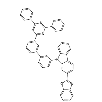 c1ccc(-c2nc(-c3ccccc3)nc(-c3cccc(-c4cccc(-n5c6ccccc6c6ccc(-c7nc8ccccc8o7)cc65)c4)c3)n2)cc1